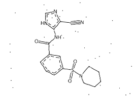 N#Cc1nc[nH]c1NC(=O)c1cccc(S(=O)(=O)N2CCCCC2)c1